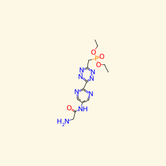 CCOP(=O)(Cc1nnc(-c2ncc(NC(=O)CN)cn2)nn1)OCC